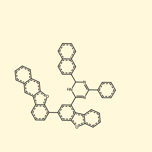 c1ccc(C2=NC(c3ccc4ccccc4c3)NC(c3cc(-c4cccc5c4oc4cc6ccccc6cc45)cc4oc5ccccc5c34)=N2)cc1